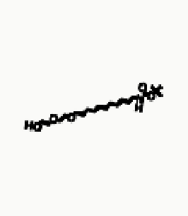 CC(C)(C)OC(=O)NCCCCCCCCCCCOCCOCCO